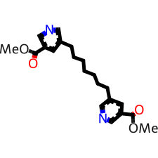 COC(=O)c1cncc(CCCCCCCc2cncc(C(=O)OC)c2)c1